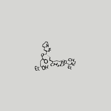 CC[C@@H](O)CC(=O)O[C@@H](C/C=C(/C)CCC[C@H](C)[C@H](O)[C@@H](CC)C(C)=O)/C(F)=C/c1ccccn1